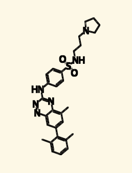 Cc1cccc(C)c1-c1cc(C)c2nc(Nc3ccc(S(=O)(=O)NCCCN4CCCC4)cc3)nnc2c1